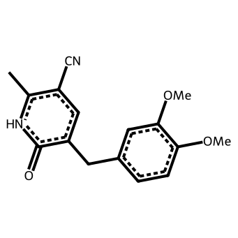 COc1ccc(Cc2cc(C#N)c(C)[nH]c2=O)cc1OC